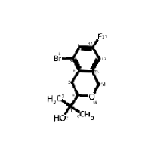 CC(C)(O)C1Cc2c(Br)cc(F)cc2CO1